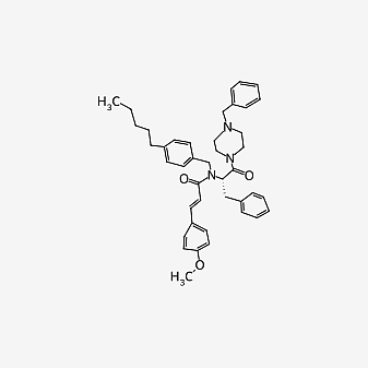 CCCCCc1ccc(CN(C(=O)C=Cc2ccc(OC)cc2)[C@@H](Cc2ccccc2)C(=O)N2CCN(Cc3ccccc3)CC2)cc1